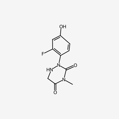 CN1C(=O)CNN(c2ccc(O)cc2F)C1=O